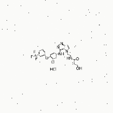 Cl.O=C(CCO)NCCn1ccc2ncnc(Nc3ccc(Oc4cccc(C(F)(F)F)c4)c(Cl)c3)c21